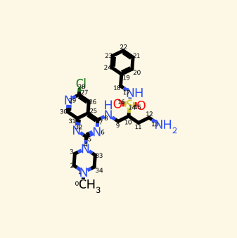 CN1CCN(c2nc(NCC(CCN)S(=O)(=O)NCc3ccccc3)c3cc(Cl)ncc3n2)CC1